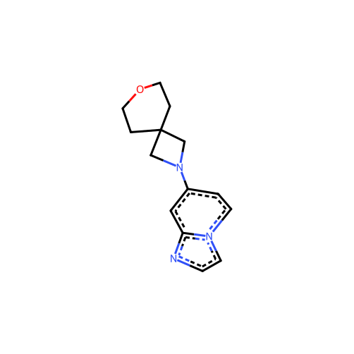 c1cn2ccc(N3CC4(CCOCC4)C3)cc2n1